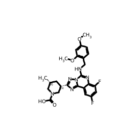 COc1ccc(CNc2nc3c(F)cc(F)cc3c3nc([C@H]4C[C@@H](C)CN(C(=O)O)C4)nn23)c(OC)c1